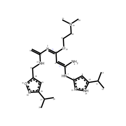 C=C(/N=C(\C=C(/N)Nc1cc(C(C)C)[nH]n1)OCCN(C)C)NCc1cc(C(C)C)no1